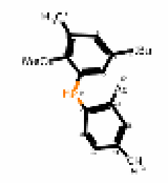 COc1c(C)cc(C(C)(C)C)cc1Pc1ccc(C)cc1C(C)=O